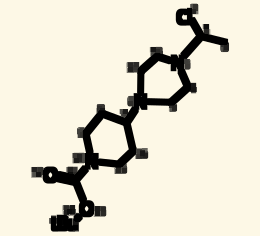 CC(Cl)N1CCN(C2CCN(C(=O)OC(C)(C)C)CC2)CC1